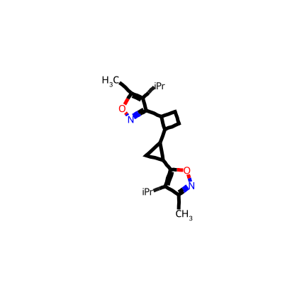 Cc1noc(C2CC2C2CCC2c2noc(C)c2C(C)C)c1C(C)C